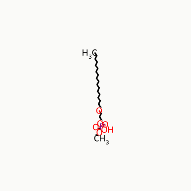 CCCCCCCCCCCCCCCCCCOCCCOP(=O)(O)C(=O)OCC